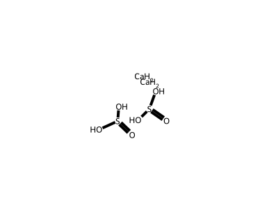 O=S(O)O.O=S(O)O.[CaH2].[CaH2]